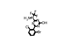 NN(c1nc(O)nc(-c2c(Cl)cccc2Br)n1)C(F)(F)F